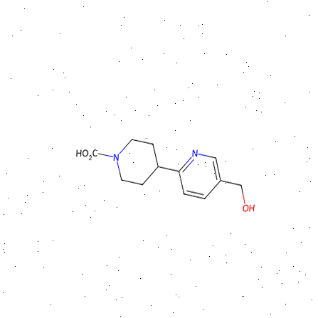 O=C(O)N1CCC(c2ccc(CO)cn2)CC1